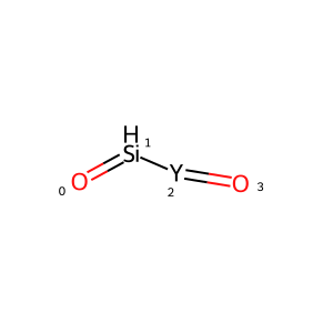 O=[SiH][Y]=[O]